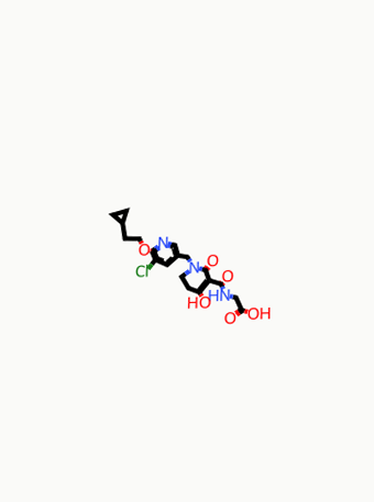 O=C(O)CNC(=O)C1=C(O)CCN(Cc2cnc(OCCC3CC3)c(Cl)c2)C1=O